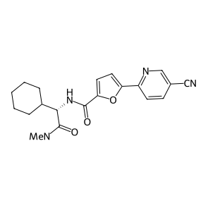 CNC(=O)[C@@H](NC(=O)c1ccc(-c2ccc(C#N)cn2)o1)C1CCCCC1